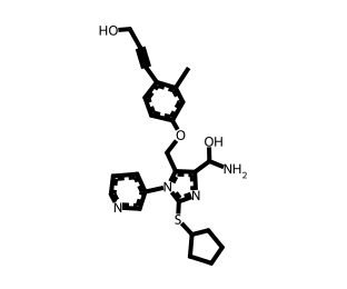 Cc1cc(OCc2c(C(N)O)nc(SC3CCCC3)n2-c2cccnc2)ccc1C#CCO